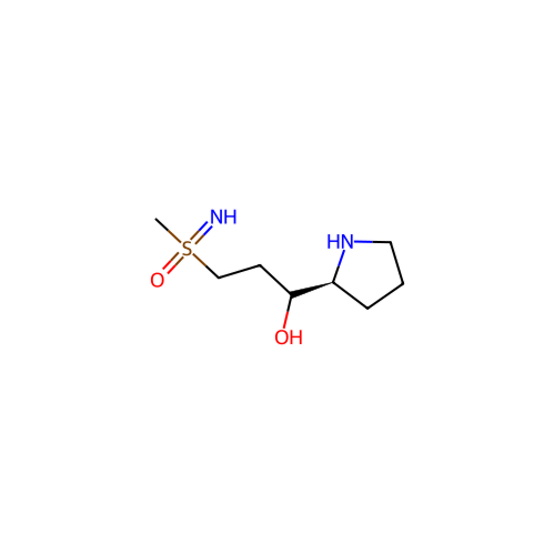 CS(=N)(=O)CCC(O)[C@@H]1CCCN1